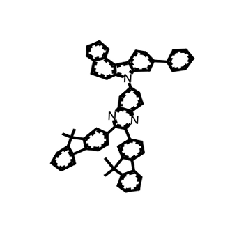 CC1(C)c2ccccc2-c2ccc(-c3nc4ccc(-n5c6cc(-c7ccccc7)ccc6c6c7ccccc7ccc65)cc4nc3-c3ccc4c(c3)C(C)(C)c3ccccc3-4)cc21